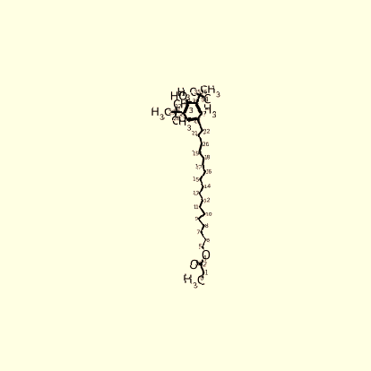 CCC(=O)OCCCCCCCCCCCCCCCCCCc1cc(C(C)(C)C)c(O)c(C(C)(C)C)c1